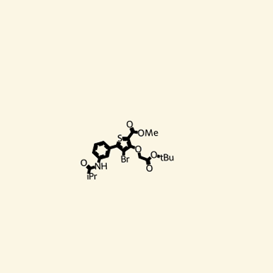 COC(=O)c1sc(-c2cccc(NC(=O)C(C)C)c2)c(Br)c1OCC(=O)OC(C)(C)C